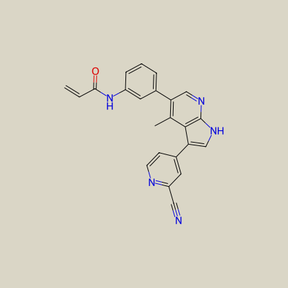 C=CC(=O)Nc1cccc(-c2cnc3[nH]cc(-c4ccnc(C#N)c4)c3c2C)c1